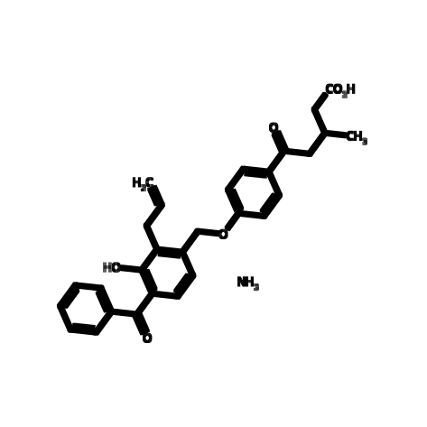 C=CCc1c(COc2ccc(C(=O)CC(C)CC(=O)O)cc2)ccc(C(=O)c2ccccc2)c1O.N